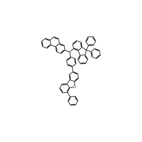 c1ccc(-c2cccc3c2oc2ccc(-c4ccc(N(c5ccc6c(ccc7ccccc76)c5)c5cccc6c5-c5ccccc5C6(c5ccccc5)c5ccccc5)cc4)cc23)cc1